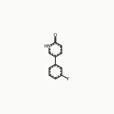 O=c1ccc(-c2cccc(F)c2)c[nH]1